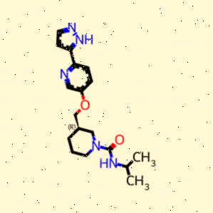 CC(C)NC(=O)N1CCC[C@@H](COc2ccc(-c3ccn[nH]3)nc2)C1